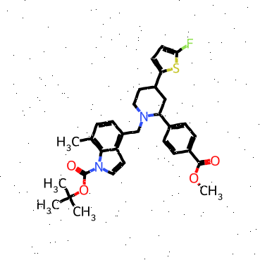 COC(=O)c1ccc(C2CC(c3ccc(F)s3)CCN2Cc2ccc(C)c3c2ccn3C(=O)OC(C)(C)C)cc1